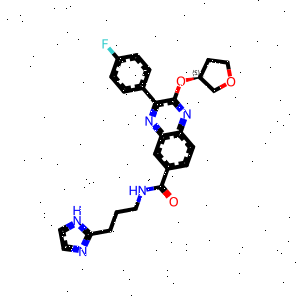 O=C(NCCCc1ncc[nH]1)c1ccc2nc(O[C@H]3CCOC3)c(-c3ccc(F)cc3)nc2c1